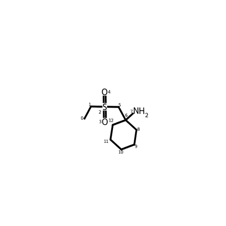 CCS(=O)(=O)CC1(N)CCCCC1